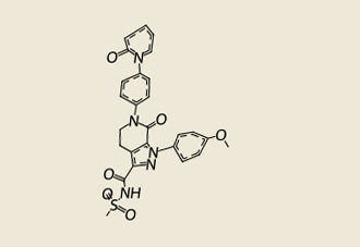 COc1ccc(-n2nc(C(=O)NS(C)(=O)=O)c3c2C(=O)N(c2ccc(-n4ccccc4=O)cc2)CC3)cc1